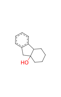 OC12CCCCC1c1ccccc1C2